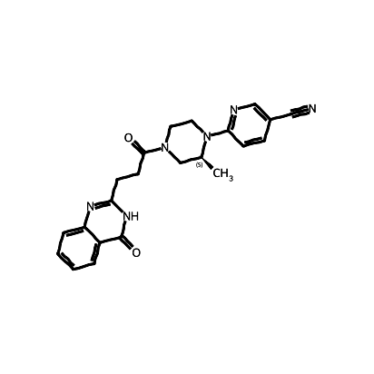 C[C@H]1CN(C(=O)CCc2nc3ccccc3c(=O)[nH]2)CCN1c1ccc(C#N)cn1